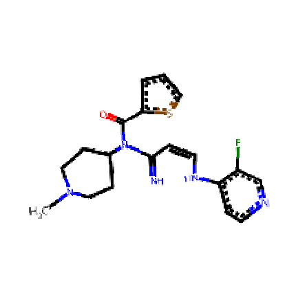 CN1CCC(N(C(=N)/C=C\Nc2ccncc2F)C(=O)c2cccs2)CC1